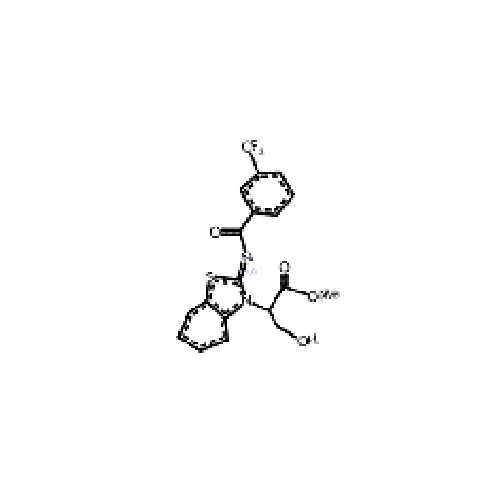 COC(=O)C(CO)n1/c(=N/C(=O)c2cccc(C(F)(F)F)c2)sc2ccccc21